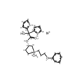 C[N+]1(CCCOc2ccccc2)CC[C@H](OC(=O)C(O)(c2cccs2)c2cccs2)C1.[Br-]